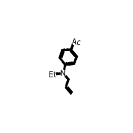 C=CCN(CC)c1ccc(C(C)=O)cc1